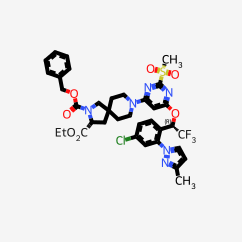 CCOC(=O)C1CC2(CCN(c3cc(O[C@H](c4ccc(Cl)cc4-n4ccc(C)n4)C(F)(F)F)nc(S(C)(=O)=O)n3)CC2)CN1C(=O)OCc1ccccc1